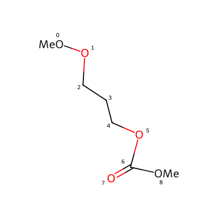 COOCCCOC(=O)OC